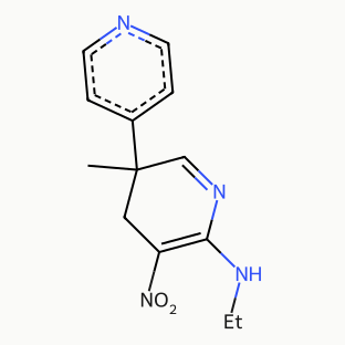 CCNC1=C([N+](=O)[O-])CC(C)(c2ccncc2)C=N1